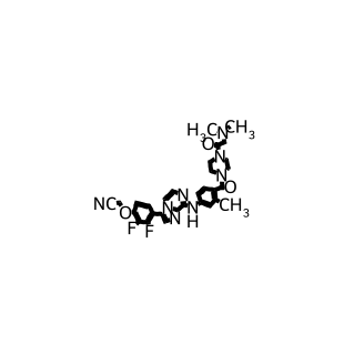 Cc1cc(Nc2nccn3c(-c4ccc(OCC#N)c(F)c4F)cnc23)ccc1C(=O)N1CCN(C(=O)CN(C)C)CC1